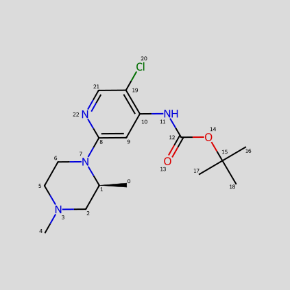 C[C@H]1CN(C)CCN1c1cc(NC(=O)OC(C)(C)C)c(Cl)cn1